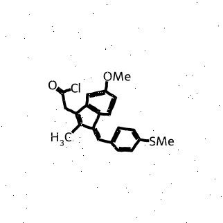 COc1ccc2c(c1)C(CC(=O)Cl)=C(C)/C2=C/c1ccc(SC)cc1